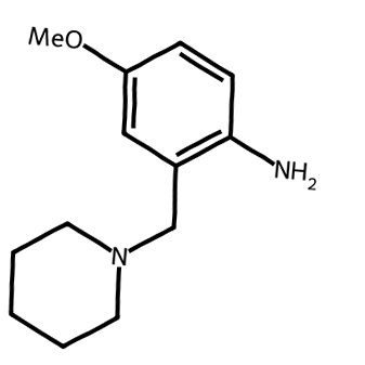 COc1ccc(N)c(CN2CCCCC2)c1